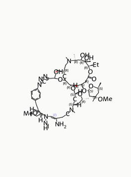 CC[C@H]1OC(=O)[C@H](C)[C@@H](O[C@H]2C[C@@](C)(OC)C[C@H](C)O2)[C@H](C)[C@H]2O[C@H]3C[C@H](C[C@@H](C)O3)N(C)CC/C(N)=C/N(NI)[C@H](CF)[C@H](OC)c3ccc(cc3)-n3cc(nn3)C(O)O[C@]2(C)C[C@@H](C)CN(C)[C@H](C)[C@@H](O)[C@]1(C)O